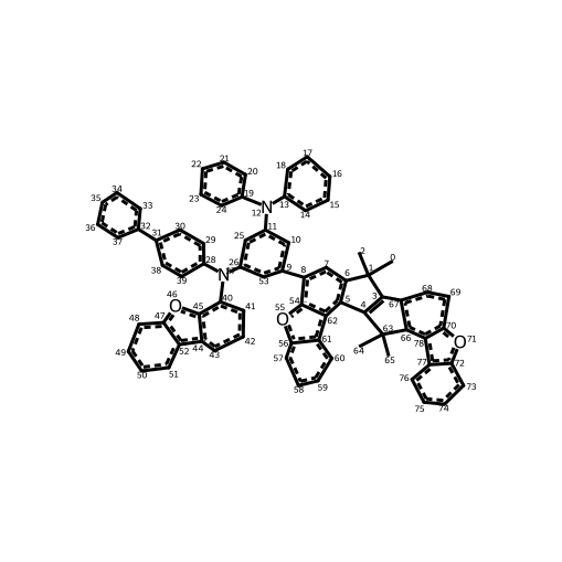 CC1(C)C2=C(c3c1cc(-c1cc(N(c4ccccc4)c4ccccc4)cc(N(c4ccc(-c5ccccc5)cc4)c4cccc5c4oc4ccccc45)c1)c1oc4ccccc4c31)C(C)(C)c1c2ccc2oc3ccccc3c12